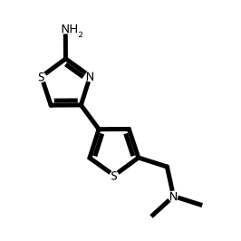 CN(C)Cc1cc(-c2csc(N)n2)cs1